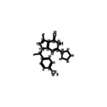 Cc1nn(C(C)c2ccc(C(F)(F)F)cc2)c2nc(N3CCCC3)[nH]c(=O)c12